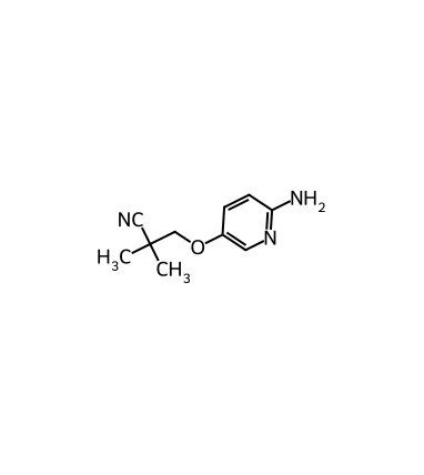 CC(C)(C#N)COc1ccc(N)nc1